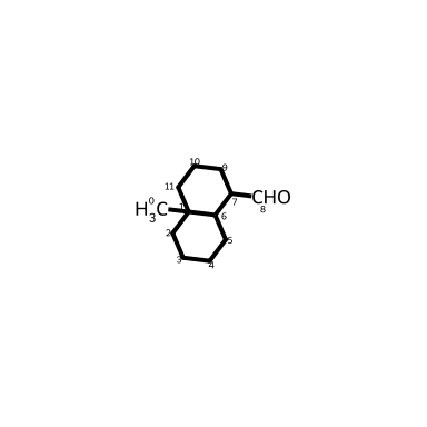 CC12CCCCC1C(C=O)CCC2